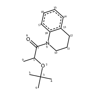 CC(OC(C)(C)C)C(=O)N1CCCc2ccccc21